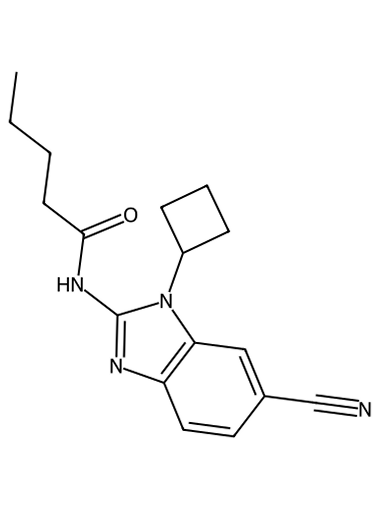 CCCCC(=O)Nc1nc2ccc(C#N)cc2n1C1CCC1